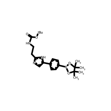 CC(C)(C)OC(=O)NCCc1ncc(-c2ccc(B3OC(C)(C)C(C)(C)O3)cc2)[nH]1